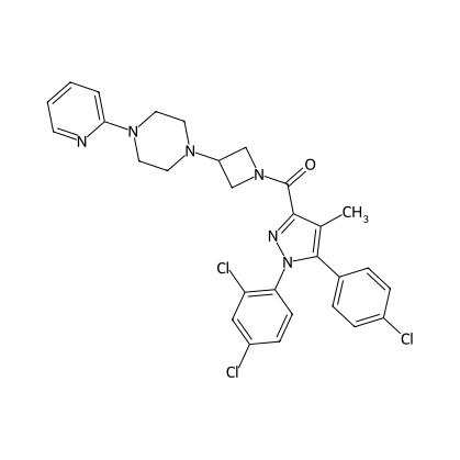 Cc1c(C(=O)N2CC(N3CCN(c4ccccn4)CC3)C2)nn(-c2ccc(Cl)cc2Cl)c1-c1ccc(Cl)cc1